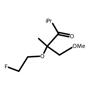 COCC(C)(OCCF)C(=O)C(C)C